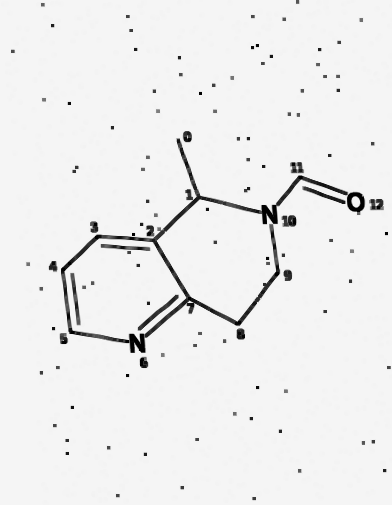 CC1c2cccnc2CCN1C=O